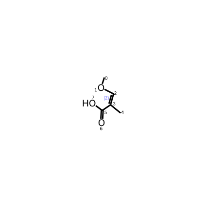 CO/C=C(/C)C(=O)O